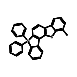 Cc1cccc2c1sc1c3c(ccc12)[Si](c1ccccc1)(c1ccccc1)c1ccccc1-3